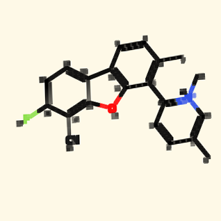 Cc1ccc(-c2c(C)ccc3c2oc2c(C#N)c(F)ccc23)[n+](C)c1